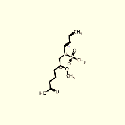 C=C/C=C/N(C[C@H](CCCC(=O)O)OC)S(C)(=O)=O